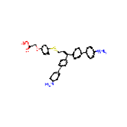 Nc1ccc(-c2ccc(C(=CCSc3ccc(OCC(=O)O)cc3)c3ccc(-c4ccc(N)cc4)cc3)cc2)cc1